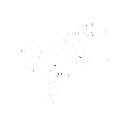 CCC1=C[C@H]2CN(C1)Cc1c([nH]c3ccc(C)cc13)[C@@](C(=O)OC)(c1cc3c(cc1OC)N(C)[C@H]1[C@@](OC)(C(=O)OC)[C@H](OC(C)=O)C4C(CC)=CCN5CC[C@]31[C@H]45)C2